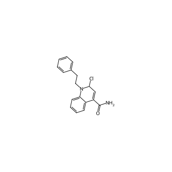 NC(=O)C1=CC(Cl)N(CCc2ccccc2)c2ccccc21